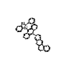 c1ccc(-c2nc3ccccc3n2-c2c3ccccc3c(-c3ccc4cc5c(ccc6ccccc65)cc4c3)c3ccccc23)cc1